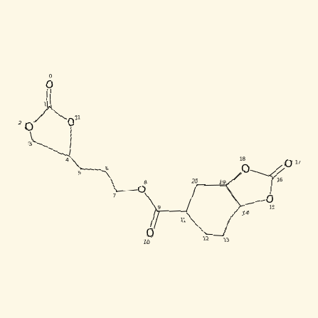 O=C1OCC(CCCOC(=O)C2CCC3OC(=O)OC3C2)O1